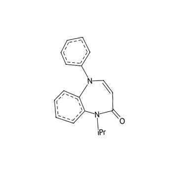 CC(C)N1C(=O)C=CN(c2ccccc2)c2ccccc21